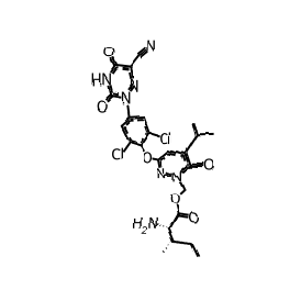 CC[C@H](C)[C@H](N)C(=O)OCn1nc(Oc2c(Cl)cc(-n3nc(C#N)c(=O)[nH]c3=O)cc2Cl)cc(C(C)C)c1=O